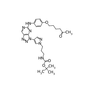 CC(=O)CCCCOc1ccc(Nc2ncc3nnn(-c4cnn(CCCNC(=O)OC(C)(C)C)c4)c3n2)cc1